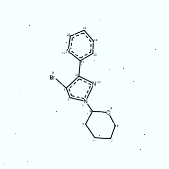 Brc1cn(C2CCCCO2)nc1-c1ccccn1